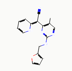 Cc1cnc(NCc2ccco2)nc1/C(C#N)=C1/C=CC=CN1